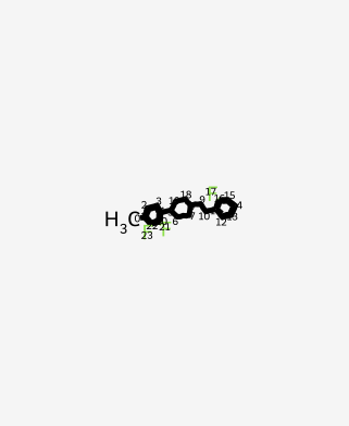 Cc1ccc(C2CCC(CCc3ccccc3F)CC2)c(F)c1F